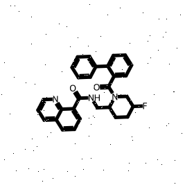 O=C(NCC1CCC(F)CN1C(=O)c1ccccc1-c1ccccc1)c1cccc2cccnc12